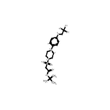 CC(C)(C)OC(=O)CS(=O)(=O)N1CCN(c2ccc(OCC(F)(F)F)cc2)CC1